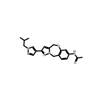 CC(=O)Nc1ccc2c(c1)OCc1cc(-c3cnn(CC(C)C)c3)nn1C2